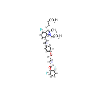 Cc1c(CCCC(=O)O)c2c(F)ccc(/C=C/c3ccc(OC/C=C/COc4c(F)cccc4F)cc3)c2n1CC(=O)O